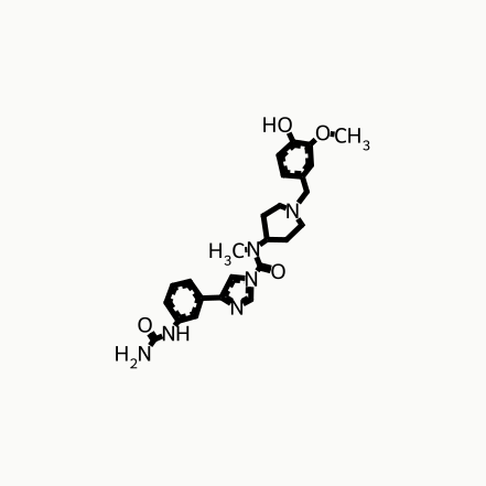 COc1cc(CN2CCC(N(C)C(=O)n3cnc(-c4cccc(NC(N)=O)c4)c3)CC2)ccc1O